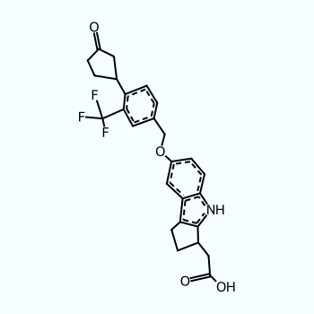 O=C(O)CC1CCc2c1[nH]c1ccc(OCc3ccc(C4CCC(=O)C4)c(C(F)(F)F)c3)cc21